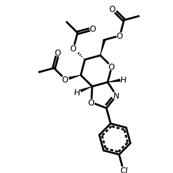 CC(=O)OC[C@H]1O[C@@H]2N=C(c3ccc(Cl)cc3)O[C@@H]2[C@@H](OC(C)=O)[C@@H]1OC(C)=O